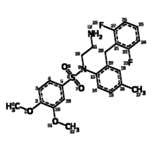 COc1ccc(S(=O)(=O)N(CCN)c2ccc(C)cc2Cc2c(F)cccc2F)cc1OC